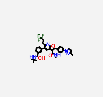 CNC(=O)c1c(-c2ccc(-n3ccc(C)n3)cc2)oc2nc(CCC(F)(F)F)c(-c3cccc(C(O)NC(C)(C)C)c3)cc12